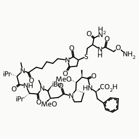 CC[C@H](C)C([C@@H](CC(=O)N1CCC[C@H]1[C@H](OC)[C@@H](C)C(=O)N[C@H](Cc1ccccc1)C(=O)O)OC)N(C)C(=O)[C@@H](NC(=O)[C@H](C(C)C)N(C)C(=O)CCCCCN1C(=O)CC(SCC(NC(=O)CON)C(N)=O)C1=O)C(C)C